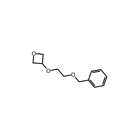 c1ccc(COCCOC2COC2)cc1